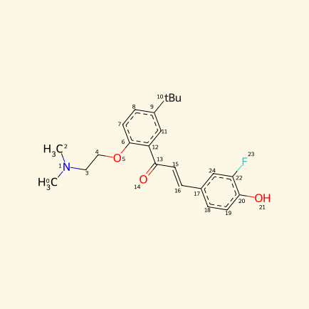 CN(C)CCOc1ccc(C(C)(C)C)cc1C(=O)C=Cc1ccc(O)c(F)c1